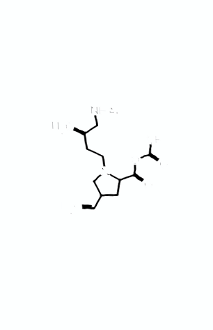 C=CC1CC(C(=O)OC(=O)C(F)(F)F)N(CCC(=C)CNC(C)=O)C1